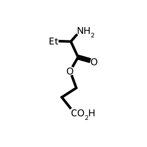 CCC(N)C(=O)OCCC(=O)O